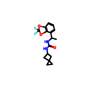 CC(NC(=O)NC1CC2(CC2)C1)c1cccc2c1OC(F)(F)O2